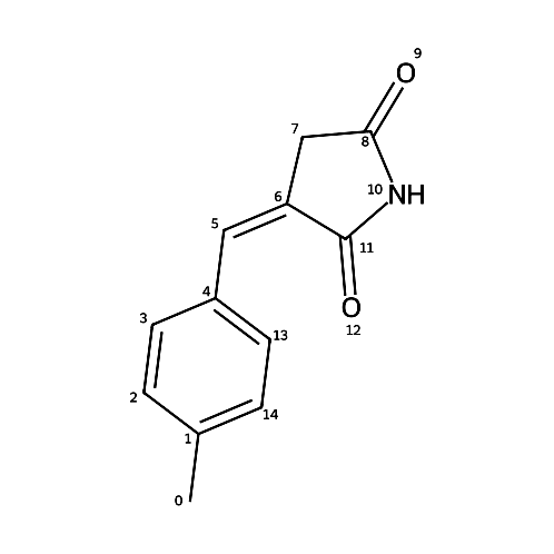 Cc1ccc(C=C2CC(=O)NC2=O)cc1